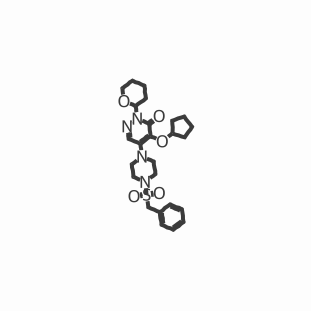 O=c1c(OC2CCCC2)c(N2CCN(S(=O)(=O)Cc3ccccc3)CC2)cnn1C1CCCCO1